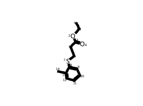 CCOC(=O)CCSc1ccccc1C